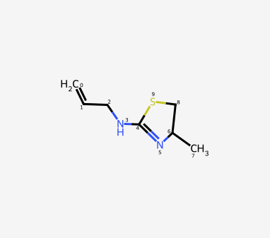 C=CCNC1=NC(C)CS1